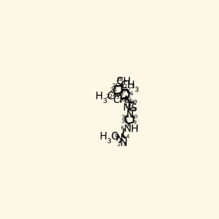 Cn1cncc1CNC1CCN(c2nc(-c3ccc4c(c3)C(C)(C)CCC4(C)C)cs2)CC1